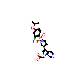 CC(C)Oc1ccc(S(=O)(=O)N2CCC(c3cn(CC(=O)O)c4cnccc34)C2)c(F)c1